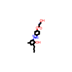 CCCCc1cc(C)cc(-n2nc3ccc(OC(=O)/C=C/O)cc3n2)c1O